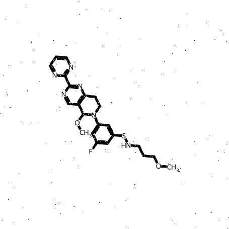 COCCCNSc1cc(F)cc(N2CCc3nc(-c4ncccn4)ncc3C2OC)c1